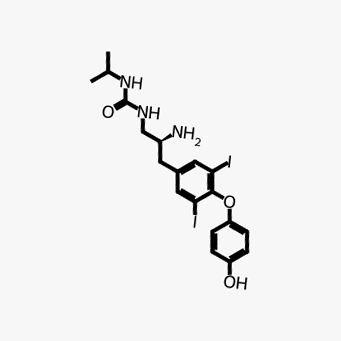 CC(C)NC(=O)NC[C@@H](N)Cc1cc(I)c(Oc2ccc(O)cc2)c(I)c1